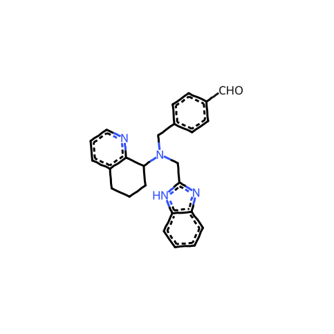 O=Cc1ccc(CN(Cc2nc3ccccc3[nH]2)C2CCCc3cccnc32)cc1